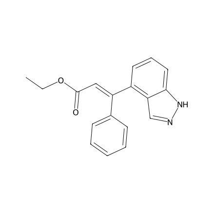 CCOC(=O)/C=C(\c1ccccc1)c1cccc2[nH]ncc12